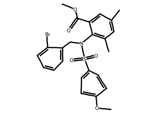 COC(=O)c1cc(C)cc(C)c1N(Cc1ccccc1Br)S(=O)(=O)c1ccc(OC)cc1